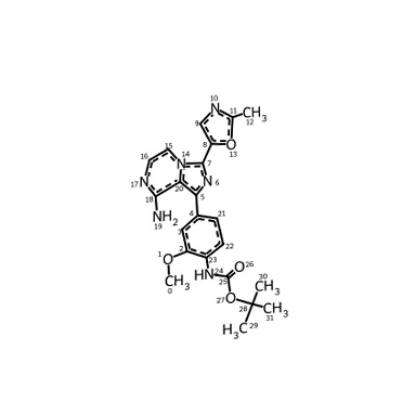 COc1cc(-c2nc(-c3cnc(C)o3)n3ccnc(N)c23)ccc1NC(=O)OC(C)(C)C